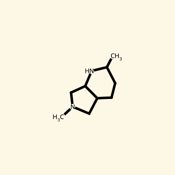 CC1CCC2CN(C)CC2N1